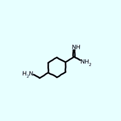 N=C(N)C1CCC(CN)CC1